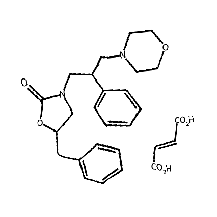 O=C(O)C=CC(=O)O.O=C1OC(Cc2ccccc2)CN1CC(CN1CCOCC1)c1ccccc1